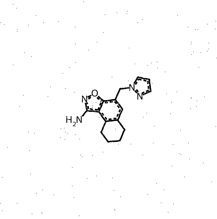 Nc1noc2c(Cn3cccn3)cc3c(c12)CCCC3